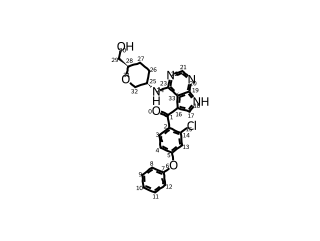 O=C(c1ccc(Oc2ccccc2)cc1Cl)c1c[nH]c2ncnc(N[C@H]3CC[C@H](CO)OC3)c12